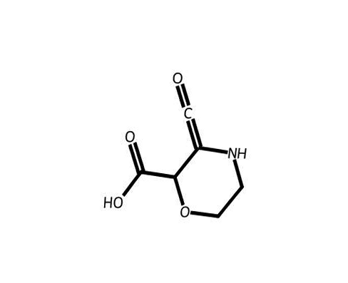 O=C=C1NCCOC1C(=O)O